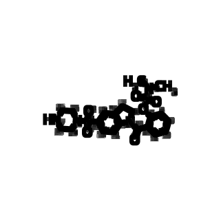 CN(C)S(=O)(=O)Oc1ccccc1C(=O)N1CCc2cc(S(=O)(=O)N3CCNCC3)ccc21